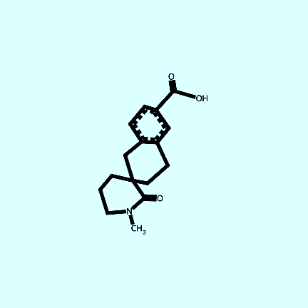 CN1CCCC2(CCc3cc(C(=O)O)ccc3C2)C1=O